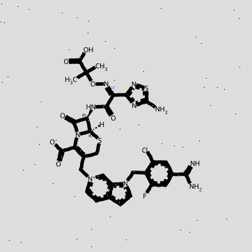 CC(C)(O/N=C(\C(=O)N[C@@H]1C(=O)N2C(C(=O)[O-])=C(C[n+]3ccc4ccn(Cc5c(F)cc(C(=N)N)cc5Cl)c4c3)CS[C@H]12)c1nsc(N)n1)C(=O)O